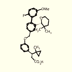 COc1ccc(F)c(-c2ccc(COc3cccc([C@H](CC(=O)O)C4(C)CC4)c3)cc2[C@@H]2OCCCC2(C)C)c1